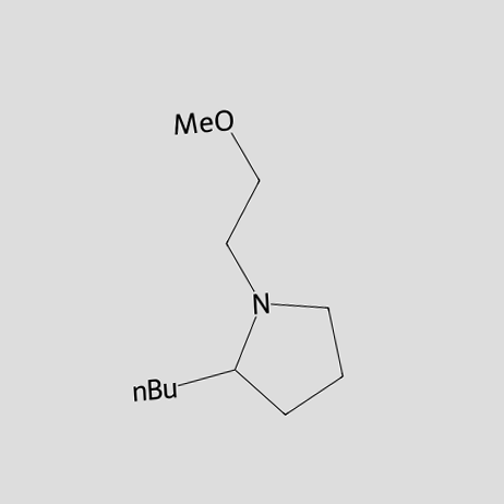 CCCCC1CCCN1CCOC